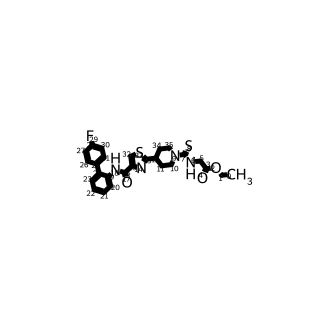 CCOC(=O)CNC(=S)N1CCC(c2nc(C(=O)Nc3ccccc3-c3ccc(F)cc3)cs2)CC1